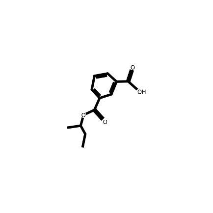 CCC(C)OC(=O)c1cccc(C(=O)O)c1